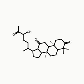 CC(=O)C(O)CCC(C)C1CCC2C1C(=O)CC1[C@@]2(C)CCC2C(C)(C)C(=O)CC[C@@]21C